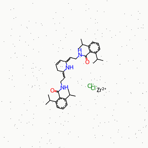 CC(C)c1cccc(C(C)C)c1C(=O)NCC=C1C=CCC(=CCNC(=O)c2c(C(C)C)cccc2C(C)C)N1.[Cl-].[Cl-].[Zr+2]